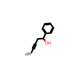 CCCC#CCC(O)c1ccccc1